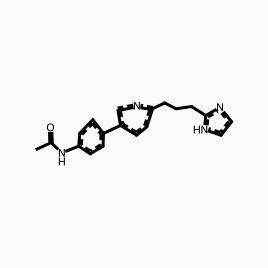 CC(=O)Nc1ccc(-c2ccc(CCCc3ncc[nH]3)nc2)cc1